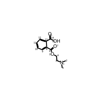 CN(C)CCOC(=O)c1ccccc1C(=O)O